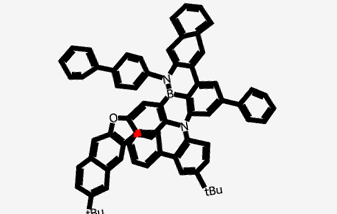 CC(C)(C)c1ccc(N2c3cc4c(cc3B3c5c(cc(-c6ccccc6)cc52)-c2cc5ccccc5cc2N3c2ccc(-c3ccccc3)cc2)oc2cc3ccc(C(C)(C)C)cc3cc24)c(-c2ccccc2)c1